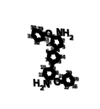 Nc1ccc(-c2ccc(-c3ccc(N)c(Oc4ccccc4)c3)cc2)cc1Oc1ccccc1